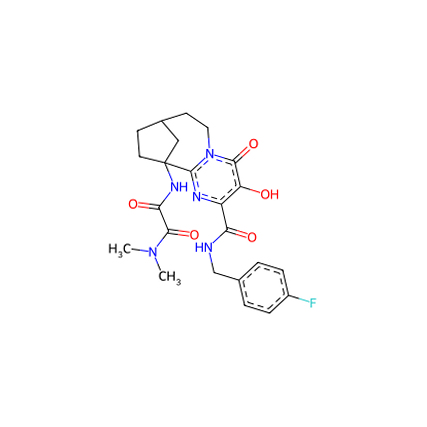 CN(C)C(=O)C(=O)NC12CCC(CCn3c1nc(C(=O)NCc1ccc(F)cc1)c(O)c3=O)C2